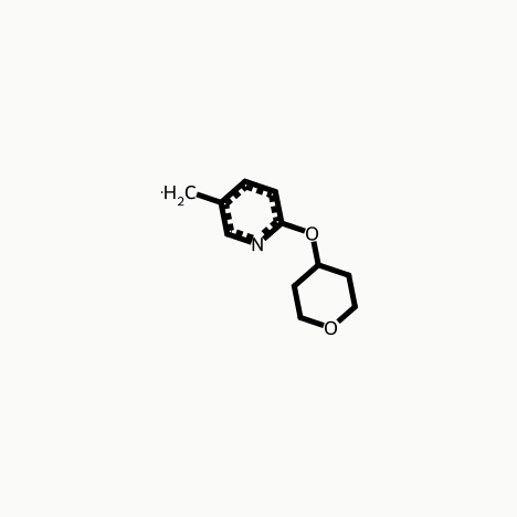 [CH2]c1ccc(OC2CCOCC2)nc1